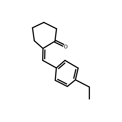 CCc1ccc(/C=C2/CCCCC2=O)cc1